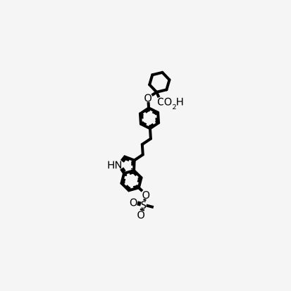 CS(=O)(=O)Oc1ccc2[nH]cc(CCCc3ccc(OC4(C(=O)O)CCCCC4)cc3)c2c1